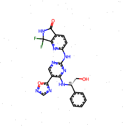 O=C1NC(F)(F)c2nc(Nc3ncc(-c4ncno4)c(N[C@H](CO)c4ccccc4)n3)ccc21